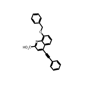 O=C(O)c1cc(C#Cc2ccccc2)c2cccc(OCc3ccccc3)c2n1